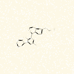 Cc1cc(-c2nccc3cc(CCC(F)(F)F)ccc23)c2oc3ccccc3c2c1